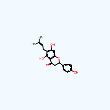 CCCC(=CCc1c(O)cc2c(c1O)C(=O)CC(c1ccc(O)cc1)O2)CCC